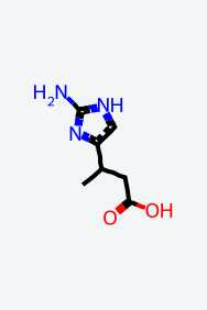 CC(CC(=O)O)c1c[nH]c(N)n1